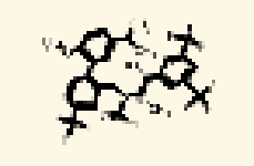 COc1ccc(C(C)C)cc1-c1ccc(C(F)(F)F)cc1CN(C(=O)O)[C@@H](C)[C@H](O)c1cc(C(F)(F)F)cc(C(F)(F)F)c1